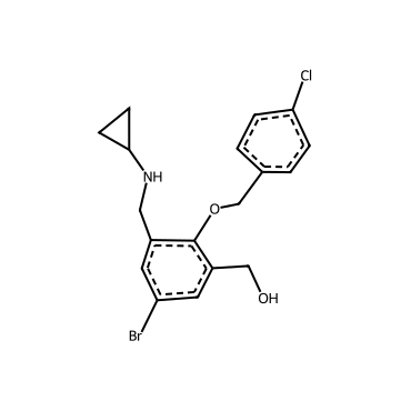 OCc1cc(Br)cc(CNC2CC2)c1OCc1ccc(Cl)cc1